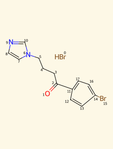 Br.O=C(CCCn1ccnc1)c1ccc(Br)cc1